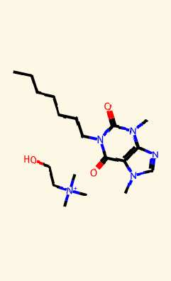 CCCCCCCn1c(=O)c2c(ncn2C)n(C)c1=O.C[N+](C)(C)CCO